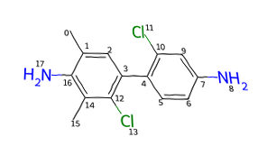 Cc1cc(-c2ccc(N)cc2Cl)c(Cl)c(C)c1N